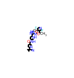 C[C@@H](OC(=O)Nc1c(-c2ccc(NC(=O)c3ccc(C4(C#N)CC4)nc3)cn2)nnn1C)c1cc(F)cnc1F